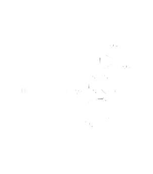 COc1ccc(N(C)c2ncc(/C=C/CCCCCC(=O)O)n3c([C@@H]4CCC[C@@H](N)C4)nc(Br)c23)c(OC)c1.Cl.Cl